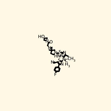 CCc1nc2n(c1N(C)c1nc(-c3ccc(F)cc3)c(C#N)s1)NC(N1CCC3(CN(CC(=O)N4CC(O)C4)C3)C1)S2